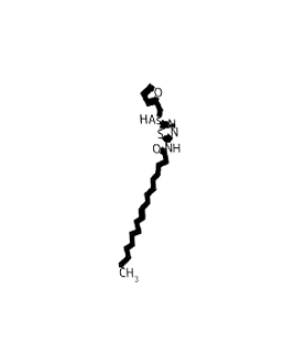 CCCCCCCCC=CCCCCCCCC(=O)Nc1nnc([AsH]Cc2ccco2)s1